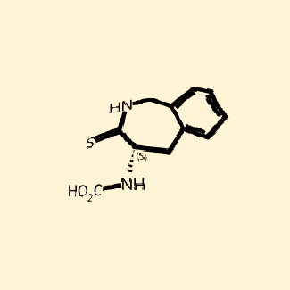 O=C(O)N[C@H]1Cc2ccccc2CNC1=S